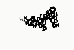 COC1O[C@@H]2[C@H](O1)[C@@](F)(COP(=O)(NC(CC(=O)O)C(=O)O)Oc1ccccc1)O[C@@]2(C#N)c1ccc2c(N)ncnn12